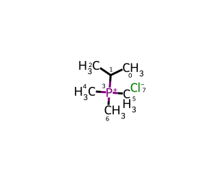 CC(C)[P+](C)(C)C.[Cl-]